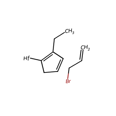 C=CCBr.CCC1=[C]([Hf])CC=C1